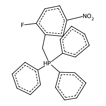 O=[N+]([O-])c1ccc(F)c(C[PH](c2ccccc2)(c2ccccc2)c2ccccc2)c1